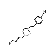 N#Cc1ccc(CCC2CCC(C/C=C/CF)CC2)cc1